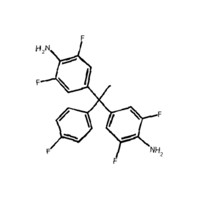 CC(c1ccc(F)cc1)(c1cc(F)c(N)c(F)c1)c1cc(F)c(N)c(F)c1